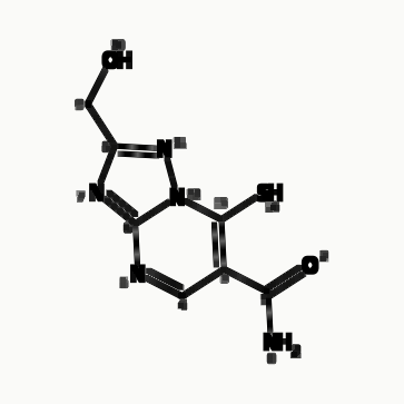 NC(=O)c1cnc2nc(CO)nn2c1S